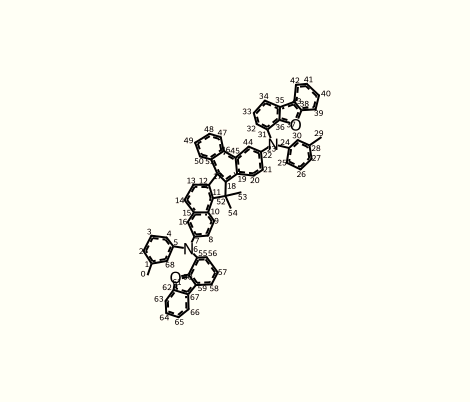 Cc1cccc(N(c2ccc3c4c(ccc3c2)-c2c(c3ccc(N(c5cccc(C)c5)c5cccc6c5oc5ccccc56)cc3c3ccccc23)C4(C)C)c2cccc3c2oc2ccccc23)c1